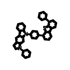 c1ccc(-c2cccc3c2sc2c(-c4ccc(-n5c6ccccc6c6cc7ccn(-c8ccccc8)c7cc65)cc4)cccc23)cc1